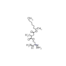 C=C(CC(=O)OC(C)CCCCCC)C(=O)OCC/C(=N/N)NN